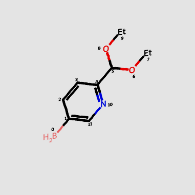 Bc1ccc(C(OCC)OCC)nc1